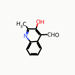 Cc1nc2ccccc2c(C=O)c1O